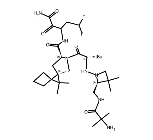 CC(C)(N)C(=O)NC[C@H]1N(N[C@H](C(=O)N2C[C@]3(C[C@H]2C(=O)NC(CC(F)F)C(=O)C(N)=O)C(C)(C)C32CCC2)C(C)(C)C)CC1(C)C